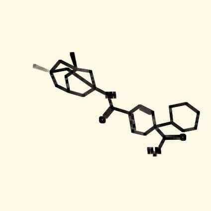 C[C@]12CC3CC(NC(=O)C4=CCC(C(N)=O)(C5CCCCC5)C=C4)(C1)C[C@@](C)(C3)C2